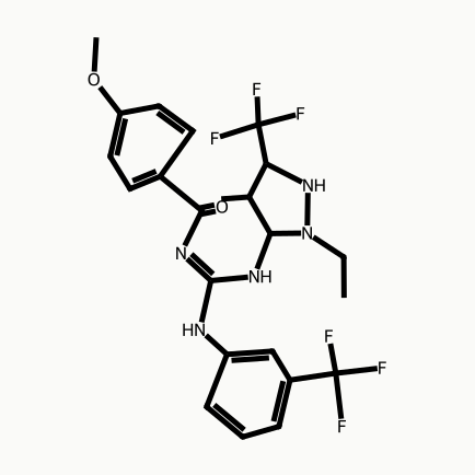 CCN1NC(C(F)(F)F)C(C)C1N/C(=N\C(=O)c1ccc(OC)cc1)Nc1cccc(C(F)(F)F)c1